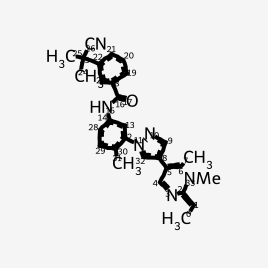 C\C=C(/N=C\C(=C\C)c1cnn(-c2cc(NC(=O)c3cccc(C(C)(C)C#N)c3)ccc2C)c1)NC